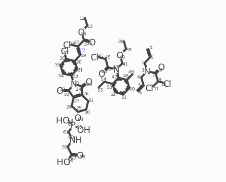 C=CCN(CC=C)C(=O)C(Cl)Cl.CCOC(=O)/C(Cl)=C/c1cc(N2C(=O)C3=C(CCCC3)C2=O)ccc1Cl.CCOCN(C(=O)CCl)c1c(C)cccc1CC.O=C(O)CNCP(=O)(O)O